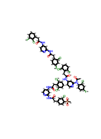 CC(=O)N(c1cc(NC(=O)Cc2c(F)cccc2Cl)ccn1)c1ccc(F)cc1Cl.CS(=O)(=O)c1ccc(CC(=O)Nc2cc(NC(=O)Cc3c(Cl)cccc3Cl)ccn2)cc1Cl.O=C(Cc1cccc(F)c1Cl)Nc1ccnc(NC(=O)Cc2ccc(F)cc2Cl)c1